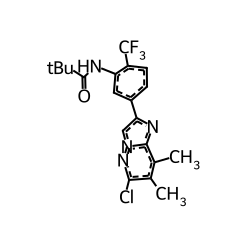 Cc1c(Cl)nn2cc(-c3ccc(C(F)(F)F)c(NC(=O)C(C)(C)C)c3)nc2c1C